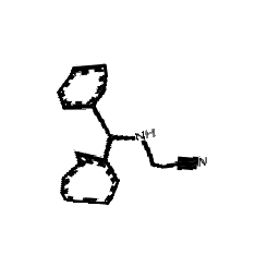 N#CCNC(c1ccccc1)c1ccccc1